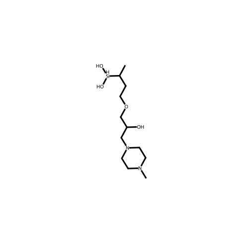 CC(CCOCC(O)CN1CCN(C)CC1)[SiH](O)O